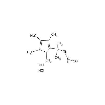 CC1=C(C)C(C)C([Si](C)(C)[Ti][NH]C(C)(C)C)=C1C.Cl.Cl